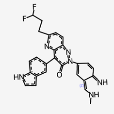 CN/C=C1/C=C(n2nc3ccc(CCC(F)F)nc3c(-c3ccc4[nH]ccc4c3)c2=O)C=CC1=N